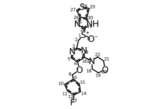 [O-][S+](Cc1ncc(OCc2ccc(F)cc2)c(N2CCOCC2)n1)c1nc2cscc2[nH]1